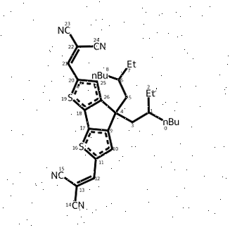 CCCCC(CC)CC1(CC(CC)CCCC)c2cc(C=C(C#N)C#N)sc2-c2sc(C=C(C#N)C#N)cc21